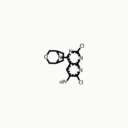 CCCc1cc2c(N3C4CCC3COC4)nc(Cl)nc2nc1Cl